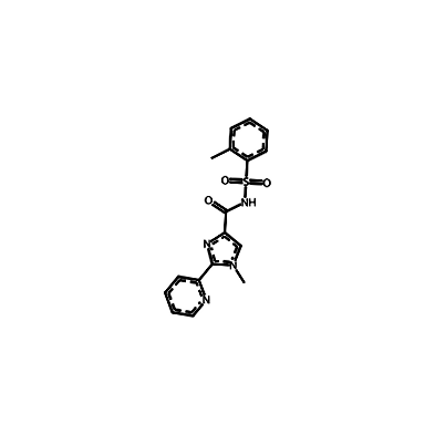 Cc1ccccc1S(=O)(=O)NC(=O)c1cn(C)c(-c2ccccn2)n1